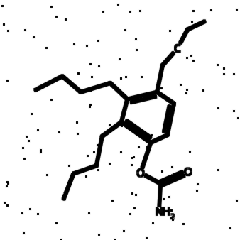 CCCCc1ccc(OC(N)=O)c(CCCC)c1CCCC